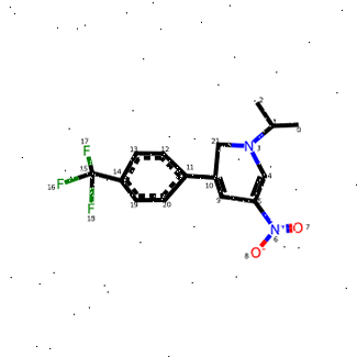 CC(C)N1C=C([N+](=O)[O-])C=C(c2ccc(C(F)(F)F)cc2)C1